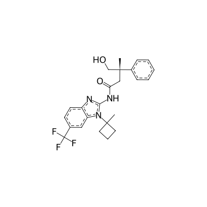 CC1(n2c(NC(=O)C[C@](C)(CO)c3ccccc3)nc3ccc(C(F)(F)F)cc32)CCC1